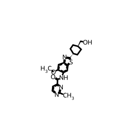 COc1cc2nc([C@H]3CC[C@H](CO)CC3)sc2cc1NC(=O)c1ccnc(C)n1